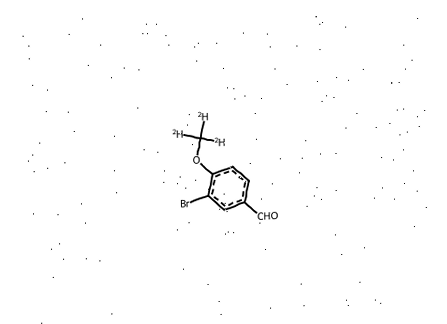 [2H]C([2H])([2H])Oc1ccc(C=O)cc1Br